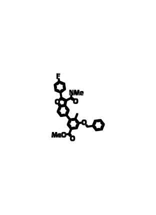 CNC(=O)c1c(-c2ccc(F)cc2)oc2ccc(-c3cc(C(=O)OC)cc(OCc4ccccc4)c3C)cc12